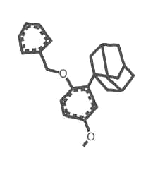 COc1ccc(OCc2ccccc2)c(C23CC4CC(CC(C4)C2)C3)c1